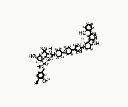 C#Cc1ccc(CNC(=O)[C@@H]2C[C@@H](O)CN2C(=O)[C@@H](NC(=O)N2CCC(N3CCC(c4cnc(N5CCC6Nc7nnc(-c8ccccc8O)cc7C6[C@H]5C)nc4)CC3)CC2)C(C)(C)C)cc1OC